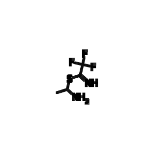 CC(N)SC(=N)C(F)(F)F